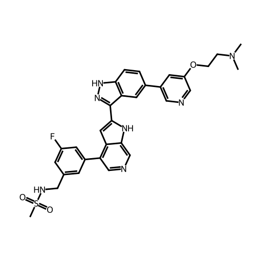 CN(C)CCOc1cncc(-c2ccc3[nH]nc(-c4cc5c(-c6cc(F)cc(CNS(C)(=O)=O)c6)cncc5[nH]4)c3c2)c1